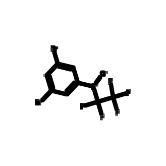 [O-][S+](c1cc(Br)[c]c(Br)c1)C(F)(F)C(F)(F)F